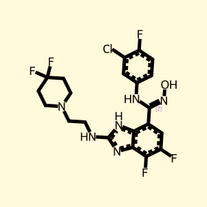 O/N=C(\Nc1ccc(F)c(Cl)c1)c1cc(F)c(F)c2nc(NCCN3CCC(F)(F)CC3)[nH]c12